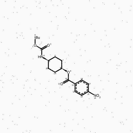 CC(C)(C)OC(=O)N[C@H]1CC[C@@H](OC(=O)c2ccc([N+](=O)[O-])cc2)CC1